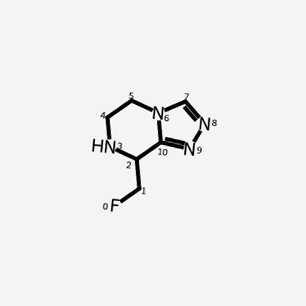 FCC1NCCn2cnnc21